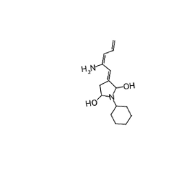 C=C/C=C(N)\C=C1/CC(O)N(C2CCCCC2)C1O